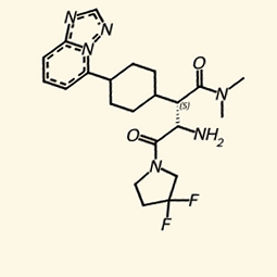 CN(C)C(=O)[C@@H](C1CCC(c2cccc3ncnn23)CC1)C(N)C(=O)N1CCC(F)(F)C1